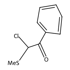 CSC(Cl)C(=O)c1ccccc1